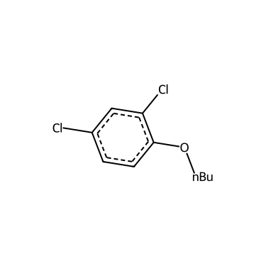 CC[CH]COc1ccc(Cl)cc1Cl